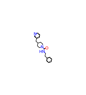 O=C(NCCc1ccccc1)N1CCC(Cc2cccnc2)CC1